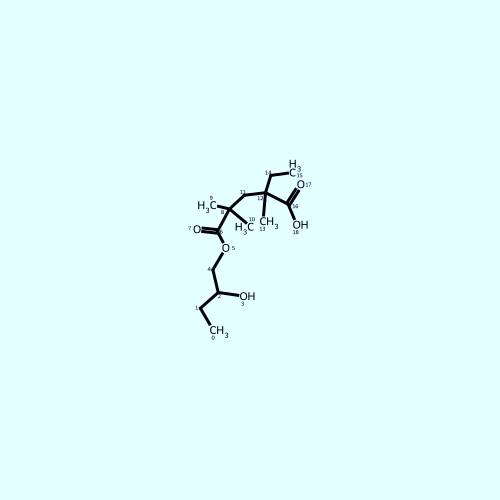 CCC(O)COC(=O)C(C)(C)CC(C)(CC)C(=O)O